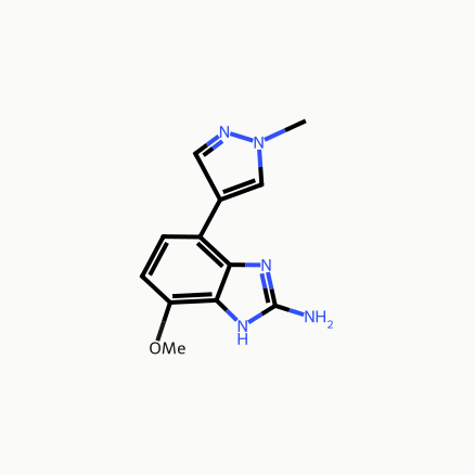 COc1ccc(-c2cnn(C)c2)c2nc(N)[nH]c12